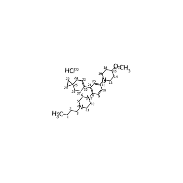 CCCCN1CCN(c2ccc(N3CCC(OC)CC3)cc2C2=CCC3(CC2)CC3)CC1.Cl